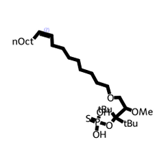 CCCCCCCC/C=C\CCCCCCCCOCC(OC)C(OP(O)(O)=S)(C(C)(C)C)C(C)(C)C